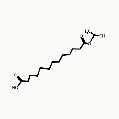 CC(C)OC(=O)CCCCCCCCCCCC(=O)O